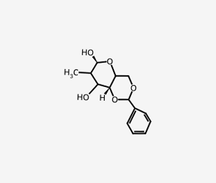 CC1C(O)[C@H]2OC(c3ccccc3)OCC2O[C@@H]1O